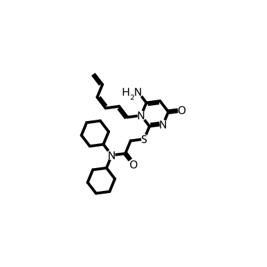 C=C/C=C\C=C\n1c(N)cc(=O)nc1SCC(=O)N(C1CCCCC1)C1CCCCC1